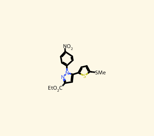 CCOC(=O)c1cc(-c2ccc(SC)s2)n(-c2ccc([N+](=O)[O-])cc2)n1